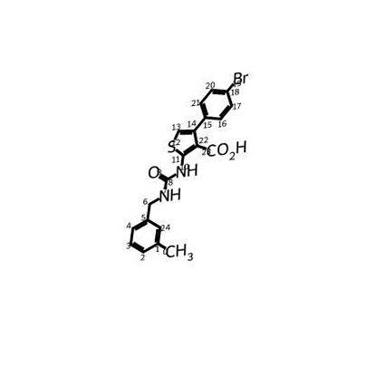 Cc1cccc(CNC(=O)Nc2scc(-c3ccc(Br)cc3)c2C(=O)O)c1